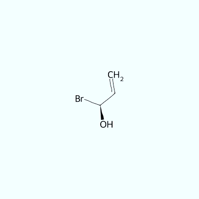 C=C[C@@H](O)Br